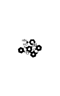 CCCCC(O)[C@@H]1CCCNC1.COC1=C[C@](Cl)(c2cccc(F)c2Oc2ccccc2)C(Oc2ccccc2)C(F)=C1